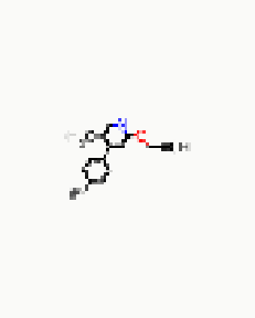 C#CCOc1cc(-c2ccc(C(C)C)cc2)c([CH2])cn1